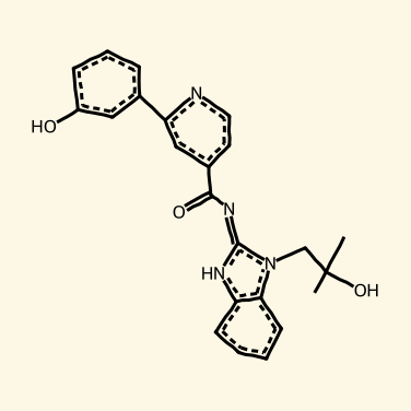 CC(C)(O)Cn1/c(=N/C(=O)c2ccnc(-c3cccc(O)c3)c2)[nH]c2ccccc21